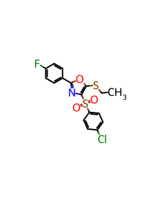 CCSc1oc(-c2ccc(F)cc2)nc1S(=O)(=O)c1ccc(Cl)cc1